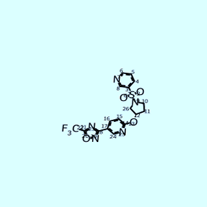 O=S(=O)(c1cccnc1)N1CC[C@H](Oc2ccc(-c3noc(C(F)(F)F)n3)cn2)C1